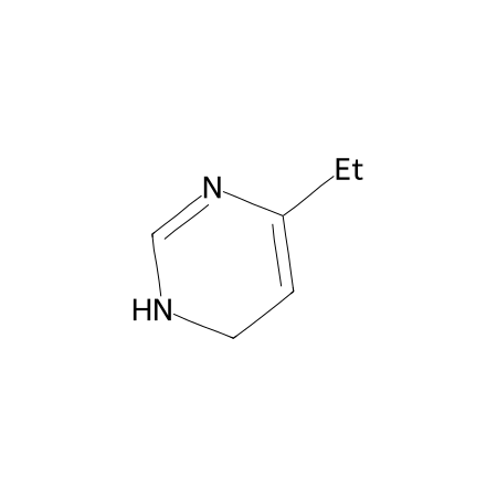 CCC1=CCNC=N1